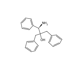 N[C@H](c1ccccc1)C(O)(Cc1ccccc1)Cc1ccccc1